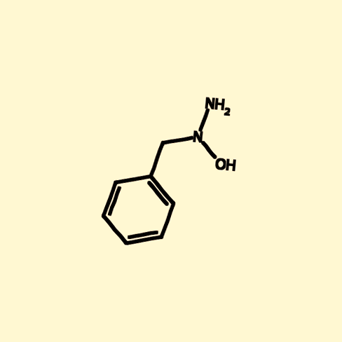 NN(O)Cc1ccccc1